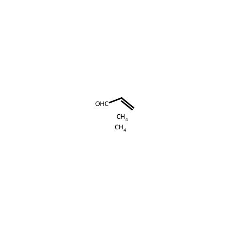 C.C.C=CC=O